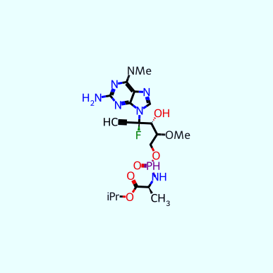 C#C[C@@](F)([C@H](O)C(CO[PH](=O)N[C@@H](C)C(=O)OC(C)C)OC)n1cnc2c(NC)nc(N)nc21